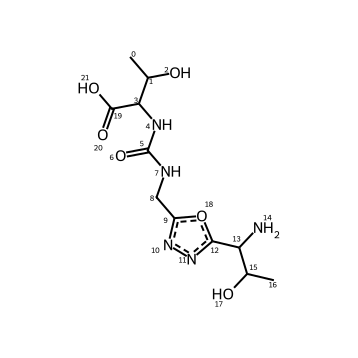 CC(O)C(NC(=O)NCc1nnc(C(N)C(C)O)o1)C(=O)O